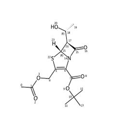 CC(=O)OCC1=C(C(=O)OC(C)(C)C)N2C(=O)[C@H]([C@@H](C)O)[C@H]2S1